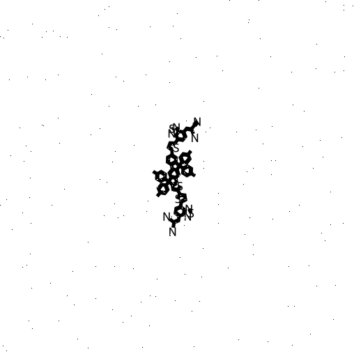 Cc1ccc(C2(c3ccc(C)cc3)c3cc(-c4ccc(-c5ccc(C=C(C#N)C#N)c6nsnc56)s4)ccc3-c3cc4c(cc32)-c2sc(-c3ccc(-c5ccc(C=C(C#N)C#N)c6nsnc56)s3)cc2C4(c2ccc(C)cc2)c2ccc(C)cc2)cc1